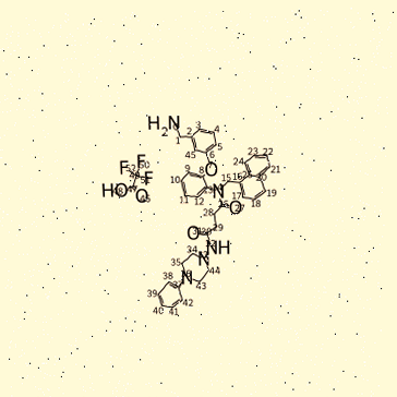 NCc1cccc(Oc2ccccc2N(Cc2cccc3ccccc23)C(=O)CCC(=O)NN2CCN(c3ccccc3)CC2)c1.O=C(O)C(F)(F)F